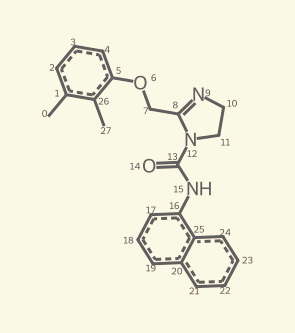 Cc1cccc(OCC2=NCCN2C(=O)Nc2cccc3ccccc23)c1C